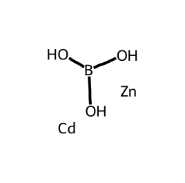 OB(O)O.[Cd].[Zn]